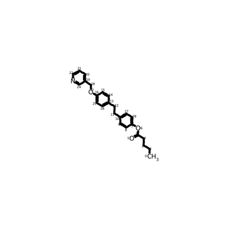 CCCCC(=O)Oc1ccc(CCc2ccc(OCc3cccnc3)cc2)cc1